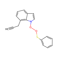 C#CCc1cccc2ccn(OOSc3ccccc3)c12